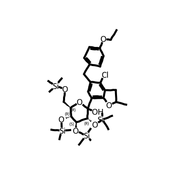 CCOc1ccc(Cc2cc(C3(O)O[C@H](CO[Si](C)(C)C)[C@@H](O[Si](C)(C)C)[C@H](O[Si](C)(C)C)[C@H]3O[Si](C)(C)C)c3c(c2Cl)CC(C)O3)cc1